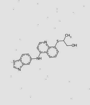 CC(CO)Sc1cccc2c(Nc3ccc4scnc4c3)ccnc12